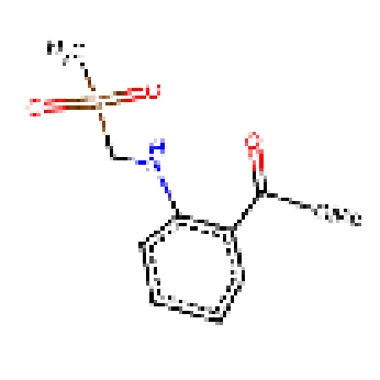 COC(=O)c1ccccc1NCS(C)(=O)=O